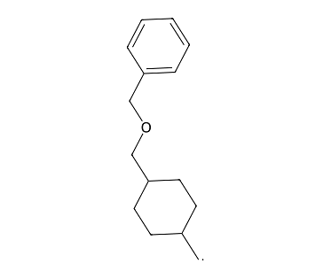 [CH2]C1CCC(COCc2ccccc2)CC1